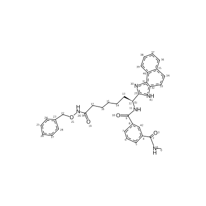 CNC(=O)c1cccc(C(=O)N[C@@H](CCCCCC(=O)NOCc2ccccc2)c2nc3c(ccc4ccccc43)[nH]2)c1